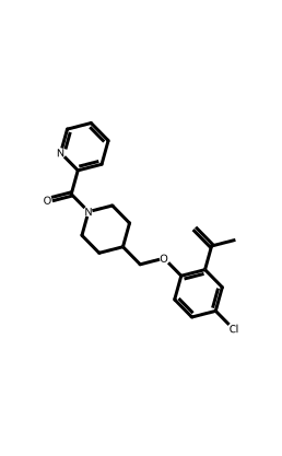 C=C(C)c1cc(Cl)ccc1OCC1CCN(C(=O)c2ccccn2)CC1